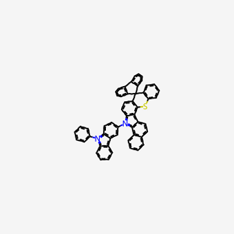 c1ccc(-n2c3ccccc3c3cc(-n4c5ccc6c(c5c5ccc7ccccc7c54)Sc4ccccc4C64c5ccccc5-c5ccccc54)ccc32)cc1